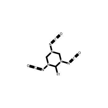 CCC1N(N=C=O)CN(N=C=O)CN1N=C=O